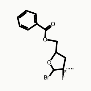 C[C@@]1(F)CC(COC(=O)c2ccccc2)OC1Br